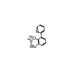 C[SiH](C)Oc1c(-c2ccccn2)cccc1C(C)(C)C